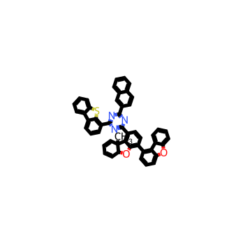 CC12C=CC=CC1Oc1c(-c3cccc4oc5ccccc5c34)ccc(-c3nc(-c4ccc5ccccc5c4)nc(-c4cccc5c4sc4ccccc45)n3)c12